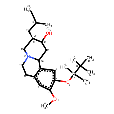 COc1cc2c(cc1O[Si](C)(C)C(C)(C)C)C1CC(O)[C@H](CC(C)C)CN1CC2